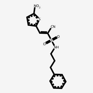 N#C/C(=C\c1ccc([N+](=O)[O-])s1)S(=O)(=O)NCCCc1ccccc1